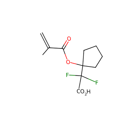 C=C(C)C(=O)OC1(C(F)(F)C(=O)O)CCCC1